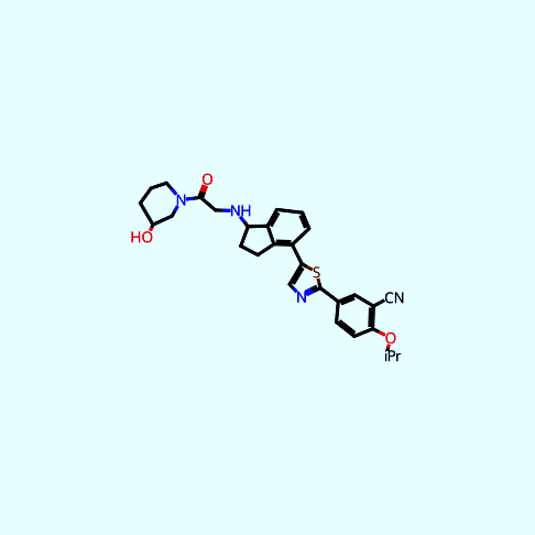 CC(C)Oc1ccc(-c2ncc(-c3cccc4c3CCC4NCC(=O)N3CCCC(O)C3)s2)cc1C#N